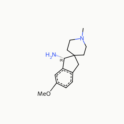 COc1ccc2c(c1)[C@H](N)C1(CCN(C)CC1)C2